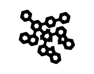 c1ccc(-c2ccc(-c3cc(-c4ccccc4)cc(-c4cccc5ccccc45)c3-c3nc(-c4cccc5c4sc4ccccc45)nc(-c4cccc5c4sc4ccccc45)n3)cc2)cc1